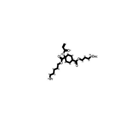 C=CC(=O)OC1(C(=O)OCCCCCC(C)C)CCC(C(=O)OCCCCCCCCCCCCC)CC1